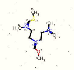 C=[N+](C)CC/[N+](=C\OC)CC/[N+](C)=C\SC